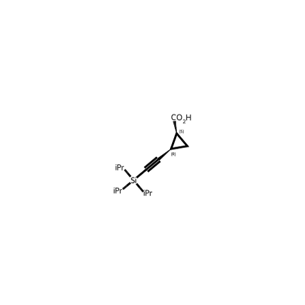 CC(C)[Si](C#C[C@@H]1C[C@@H]1C(=O)O)(C(C)C)C(C)C